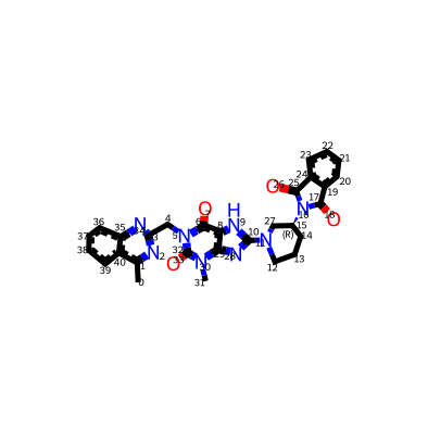 Cc1nc(Cn2c(=O)c3[nH]c(N4CCC[C@@H](N5C(=O)c6ccccc6C5=O)C4)nc3n(C)c2=O)nc2ccccc12